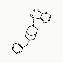 Nc1ccccc1C(=O)N1CC2CC(CN(Cc3ccccc3)C2)C1